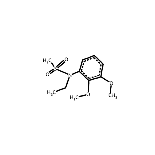 CCN(c1cccc(OC)c1OC)S(C)(=O)=O